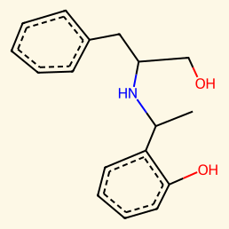 CC(NC(CO)Cc1ccccc1)c1ccccc1O